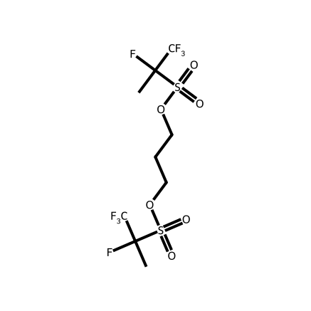 CC(F)(C(F)(F)F)S(=O)(=O)OCCCOS(=O)(=O)C(C)(F)C(F)(F)F